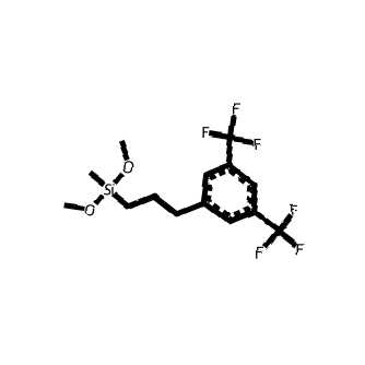 CO[Si](C)(CCCc1cc(C(F)(F)F)cc(C(F)(F)F)c1)OC